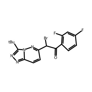 CC(C)(C)c1nnc2ccc(C(Br)C(=O)c3ccc(F)cc3F)nn12